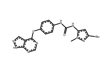 Cn1nc(C(C)(C)C)cc1NC(=O)Nc1ccc(Oc2ncnc3[nH]ncc23)cc1